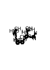 CC(=O)NC1CCN(CCCOc2cccc(-c3cccc(COc4cc(OCc5cncc(C#N)c5)c(CNC(CO)CO)cc4Cl)c3C)c2Cl)C1